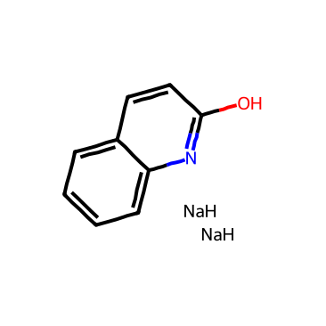 Oc1ccc2ccccc2n1.[NaH].[NaH]